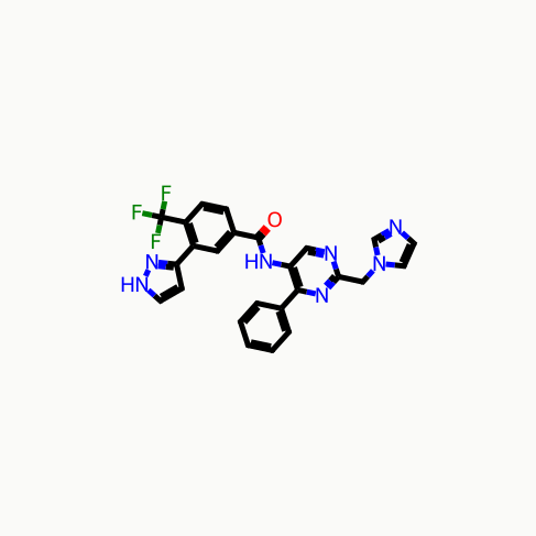 O=C(Nc1cnc(Cn2ccnc2)nc1-c1ccccc1)c1ccc(C(F)(F)F)c(-c2cc[nH]n2)c1